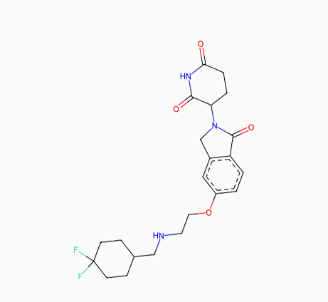 O=C1CCC(N2Cc3cc(OCCNCC4CCC(F)(F)CC4)ccc3C2=O)C(=O)N1